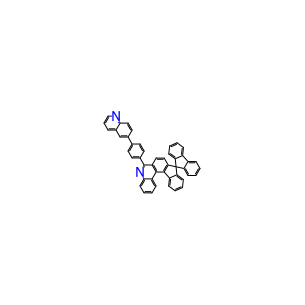 c1ccc2c(c1)-c1ccccc1C21c2ccccc2-c2c1ccc1c(-c3ccc(-c4ccc5ncccc5c4)cc3)nc3ccccc3c21